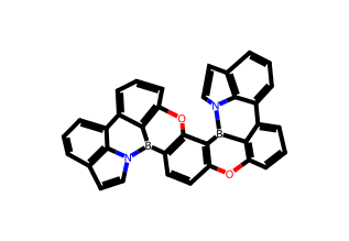 c1cc2c3c(c1)-c1cccc4ccn(c14)B3c1ccc3c(c1O2)B1c2c(cccc2-c2cccc4ccn1c24)O3